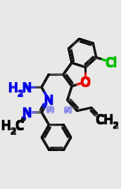 C=C/C=C\c1oc2c(Cl)cccc2c1CC(N)/N=C(\N=C)c1ccccc1